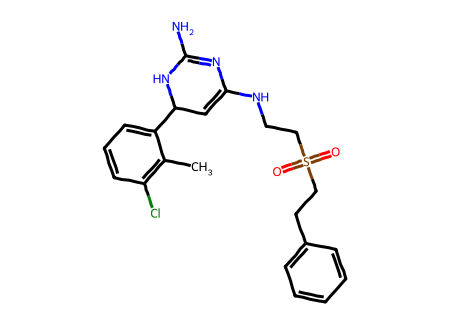 Cc1c(Cl)cccc1C1C=C(NCCS(=O)(=O)CCc2ccccc2)N=C(N)N1